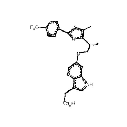 Cc1sc(-c2ccc(C(F)(F)F)cc2)nc1[C@@H](C)COc1ccc2c(CC(=O)O)c[nH]c2c1